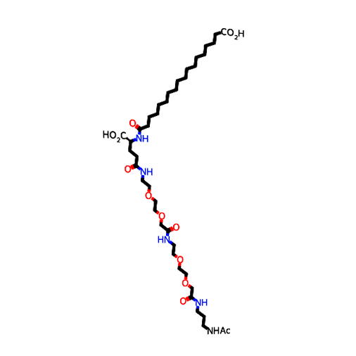 [CH2]C(=O)NCCCNC(=O)COCCOCCNC(=O)COCCOCCNC(=O)CC[C@H](NC(=O)CCCCCCCCCCCCCCCCC(=O)O)C(=O)O